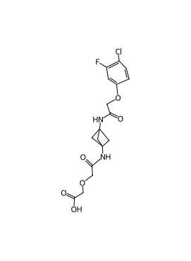 O=C(O)COCC(=O)NC12CC(NC(=O)COc3ccc(Cl)c(F)c3)(C1)C2